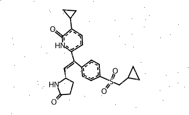 O=C1CC[C@H](/C=C(\c2ccc(S(=O)(=O)CC3CC3)cc2)c2ccc(C3CC3)c(=O)[nH]2)N1